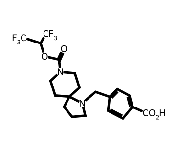 O=C(O)c1ccc(CN2CCCC23CCN(C(=O)OC(C(F)(F)F)C(F)(F)F)CC3)cc1